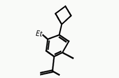 C=C(C)c1cc(CC)c(C2CCC2)cc1C